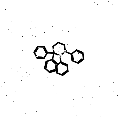 c1cc[c]([Al]2[CH2]CC[C](c3ccccc3)(c3ccccc3)[Al]2[c]2ccccc2)cc1